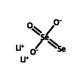 O=[Se]([O-])([O-])=[Se].[Li+].[Li+]